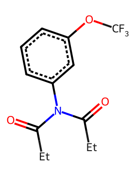 CCC(=O)N(C(=O)CC)c1cccc(OC(F)(F)F)c1